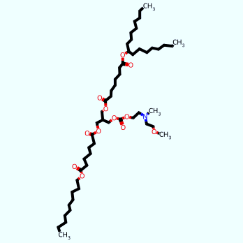 CCCCCCCCCCOC(=O)CCCCCC(=O)OCC(COC(=O)CCCCCCC(=O)OC(CCCCCCCC)CCCCCCCC)COC(=O)OCCN(C)CCOC